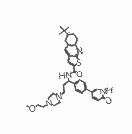 COCCN1CCN(CCC(NC(=O)c2cc3cc4c(nc3s2)CC[C@H](C(C)(C)C)C4)c2ccc(-c3ccc(=O)[nH]c3)cc2)CC1